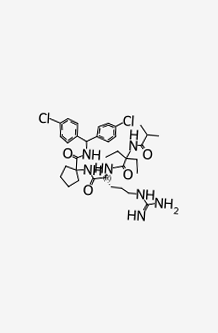 CCC(CC)(NC(=O)C(C)C)C(=O)N[C@H](CCCNC(=N)N)C(=O)NC1(C(=O)NC(c2ccc(Cl)cc2)c2ccc(Cl)cc2)CCCC1